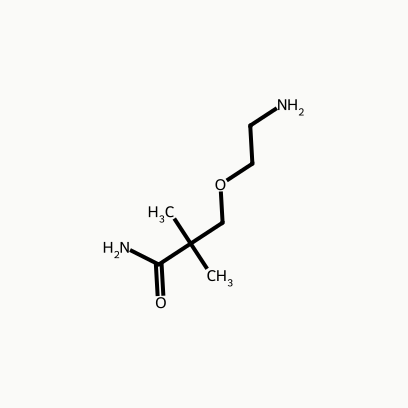 CC(C)(COCCN)C(N)=O